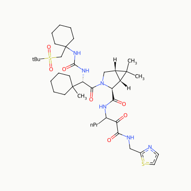 CCCC(NC(=O)[C@@H]1[C@@H]2[C@H](CN1C(=O)[C@@H](NC(=O)NC1(CS(=O)(=O)C(C)(C)C)CCCCC1)C1(C)CCCCC1)C2(C)C)C(=O)C(=O)NCc1nccs1